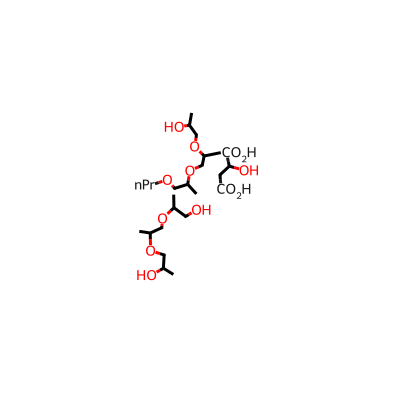 CC(O)COC(C)COC(C)CO.CCCOCC(C)OCC(C)OCC(C)O.O=C(O)CC(O)C(=O)O